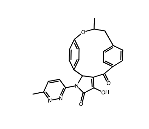 Cc1ccc(N2C(=O)C(O)=C3C(=O)c4ccc(cc4)CC(C)Oc4ccc(cc4)C32)nn1